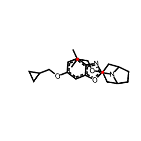 CC(C)COC1CC2CCC(C1)N2c1nc2ccc(OCC3CC3)cc2o1